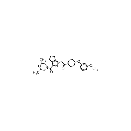 C[C@@H]1CN(C(=O)c2nn(CC(=O)N3CCC(Oc4cccc(OC(F)(F)F)c4)CC3)c3c2CCC3)C[C@H](C)O1